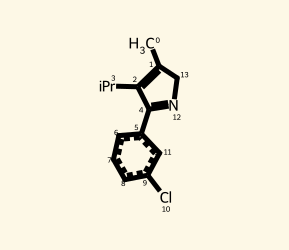 CC1=C(C(C)C)C(c2cccc(Cl)c2)=NC1